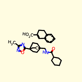 Cc1noc(C23CCC(CNC(=O)C4CCCCC4)(CC2)CC3)n1.O=C(O)C1=Cc2ccccc2CC1